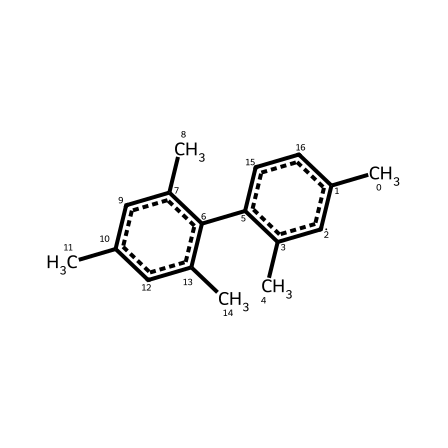 Cc1[c]c(C)c(-c2c(C)cc(C)cc2C)cc1